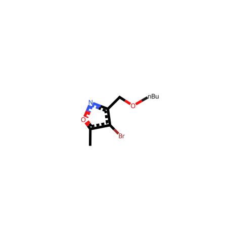 CCCCOCc1noc(C)c1Br